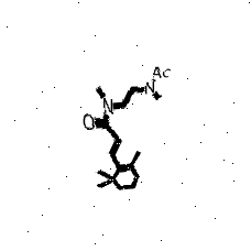 CC(=O)N(C)CCN(C)C(=O)/C=C/C1=C(C)CCCC1(C)C